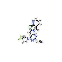 CC(C)(C)c1nc(N2CCC(F)(F)C2)c2ccn(Cc3cccnc3Cl)c2n1